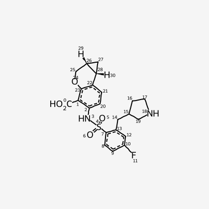 O=C(O)c1c(NS(=O)(=O)c2ccc(F)cc2CC2CCNC2)ccc2c1OC[C@@H]1C[C@H]21